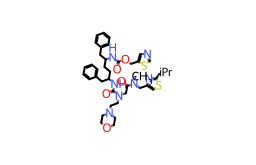 CC(C)c1nc(CN(C)C(=O)CN(CCN2CCOCC2)C(=O)NC(CCC(Cc2ccccc2)NC(=O)OCc2cncs2)Cc2ccccc2)cs1